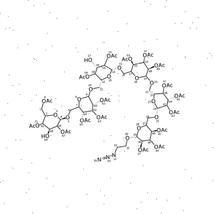 CC(=O)OCC1O[C@@H](OCC2OC(OC[C@H]3O[C@@H](OCC4OC(OC[C@H]5O[C@@H](OCC6O[C@@H](OCCN=[N+]=[N-])[C@H](OC(C)=O)C(OC(C)=O)[C@@H]6OC(C)=O)C(OC(C)=O)[C@@H](OC(C)=O)C5OC(C)=O)[C@H](OC(C)=O)C(OC(C)=O)[C@@H]4OC(C)=O)C(OC(C)=O)[C@@H](O)C3OC(C)=O)[C@H](OC(C)=O)C(OC(C)=O)[C@@H]2OC(C)=O)C(OC(C)=O)[C@@H](O)C1OC(C)=O